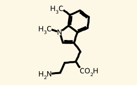 Cc1cccc2c(CC(CCN)C(=O)O)cn(C)c12